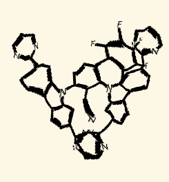 N#Cc1c(-n2c3cc(-c4ncccn4)ccc3c3ccc(-c4ncccn4)cc32)ccc(-c2c(F)c(F)c(F)c(F)c2F)c1-n1c2cc(-c3ncccn3)ccc2c2ccc(-c3ncccn3)cc21